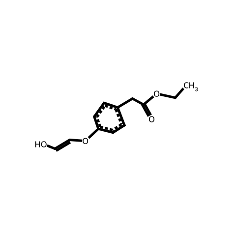 CCOC(=O)Cc1ccc(OC=CO)cc1